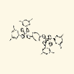 Cc1cc(C)cc(OP(=O)(Oc2ccc(OP(=O)(Oc3cc(C)cc(C)c3)Oc3cc(C)cc(C)c3)cc2)Oc2cc(C)cc(C)c2)c1